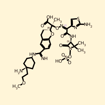 COCC[C@]1(N)CC[C@H](NC(=N)c2ccc3c(c2)CC[C@H]([C@](C)(O/N=C(\C(=O)N[C@@H]2C(=O)N(OS(=O)(=O)O)C2(C)C)c2csc(N)n2)C(=O)O)O3)CC1